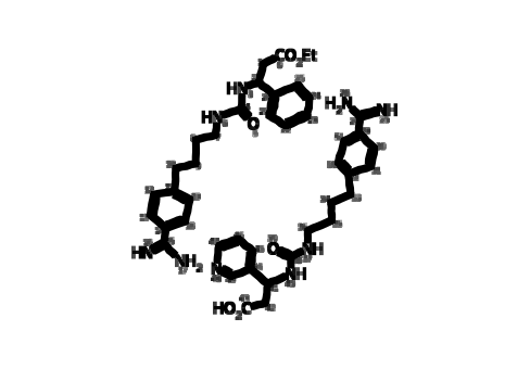 CCOC(=O)CC(NC(=O)NCCCCc1ccc(C(=N)N)cc1)c1ccccc1.N=C(N)c1ccc(CCCCNC(=O)NC(CC(=O)O)c2cccnc2)cc1